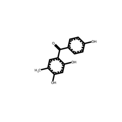 Cc1cc(C(=O)c2ccc(O)cc2)c(O)cc1O